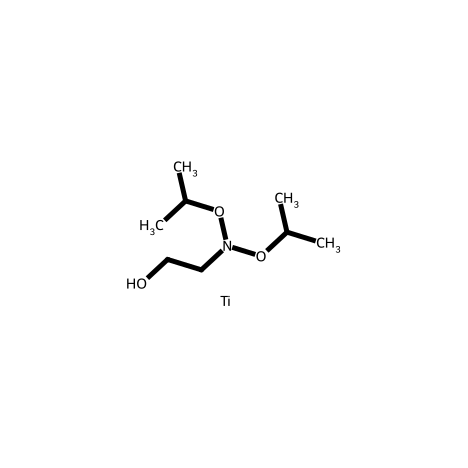 CC(C)ON(CCO)OC(C)C.[Ti]